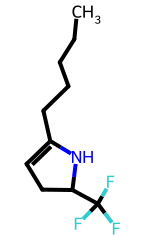 CCCCCC1=CCC(C(F)(F)F)N1